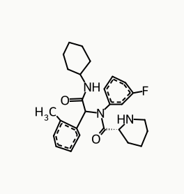 Cc1ccccc1C(C(=O)NC1CCCCC1)N(C(=O)[C@H]1CCCCN1)c1cccc(F)c1